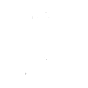 CC(C)(C)Cc1ccc2c(c1)C(NCC(O)C(Cc1cc(F)cc(F)c1)NC(=O)CF)CCO2